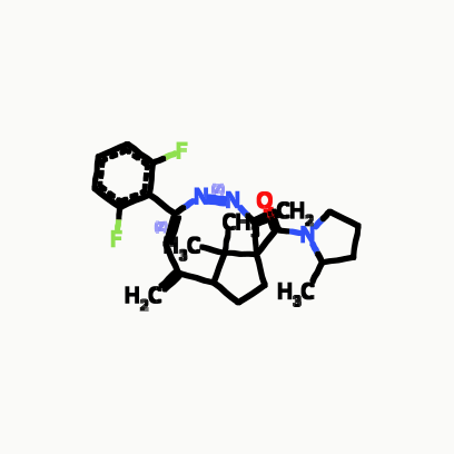 C=C1/C=C(c2c(F)cccc2F)\N=N/C(=C)C2(C(=O)N3CCCC3C)CCC1C2(C)C